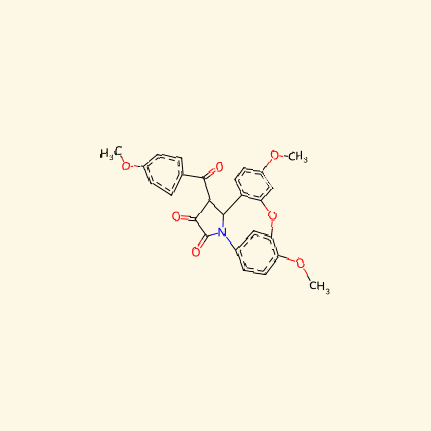 COc1ccc(C(=O)C2C(=O)C(=O)N3c4ccc(OC)c(c4)Oc4cc(OC)ccc4C23)cc1